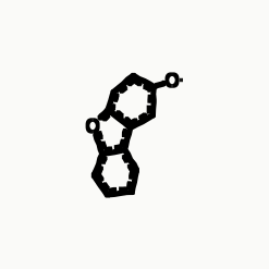 [O]c1ccc2oc3ccccc3c2c1